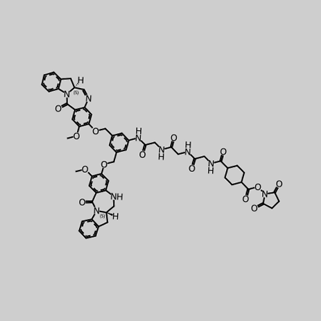 COc1cc2c(cc1OCc1cc(COc3cc4c(cc3OC)C(=O)N3c5ccccc5C[C@H]3CN4)cc(NC(=O)CNC(=O)CNC(=O)CNC(=O)C3CCC(C(=O)ON4C(=O)CCC4=O)CC3)c1)N=C[C@@H]1Cc3ccccc3N1C2=O